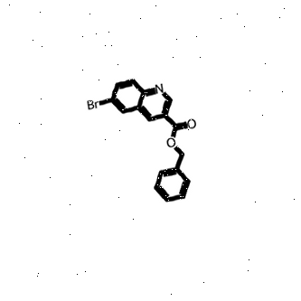 O=C(OCc1ccccc1)c1cnc2ccc(Br)cc2c1